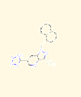 Cc1nn(Cc2cccc3ccccc23)c2cc(-c3nnn[nH]3)cnc12